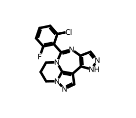 Fc1cccc(Cl)c1C1=Nc2cn[nH]c2-c2cnn3c2N1CCC3